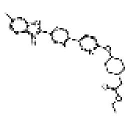 CCOC(=O)C[C@H]1CC[C@@H](Oc2ccc(-c3ccc(-c4nc5cc(C)ccc5[nH]4)cn3)cn2)CC1